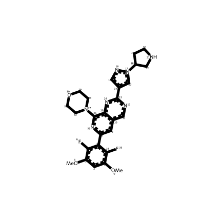 COc1cc(OC)c(F)c(-c2cc3cnc(-c4cnn(C5CCNC5)c4)nc3c(N3CCOCC3)n2)c1F